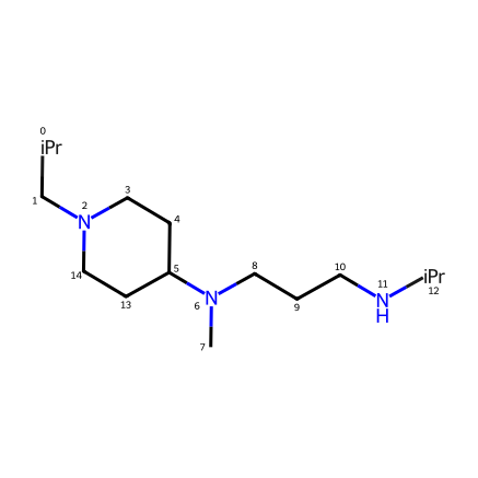 CC(C)CN1CCC(N(C)CCCNC(C)C)CC1